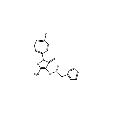 NC1=C(OS(=O)Cc2cccnc2)C(=O)C(C2=CCC=C(Cl)C=C2)O1